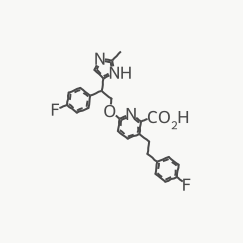 Cc1ncc(C(COc2ccc(CCc3ccc(F)cc3)c(C(=O)O)n2)c2ccc(F)cc2)[nH]1